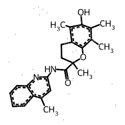 Cc1c(C)c2c(c(C)c1O)CCC(C)(C(=O)Nc1cc(C)c3ccccc3n1)O2